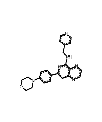 c1cc(CNc2nc(-c3ccc(N4CCOCC4)cc3)cc3nccnc23)ccn1